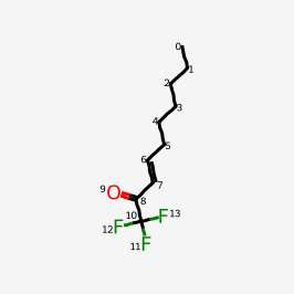 CCCCCCC=CC(=O)C(F)(F)F